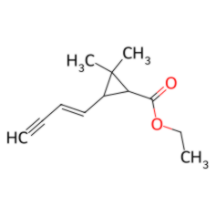 C#CC=CC1C(C(=O)OCC)C1(C)C